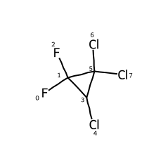 FC1(F)C(Cl)C1(Cl)Cl